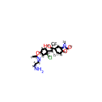 C=C(/N=C\C=C/N)Oc1ccc([C@@H](C)[C@@](O)(c2ccc3oc(=O)n(C)c3c2)C(F)(F)F)c(Cl)c1